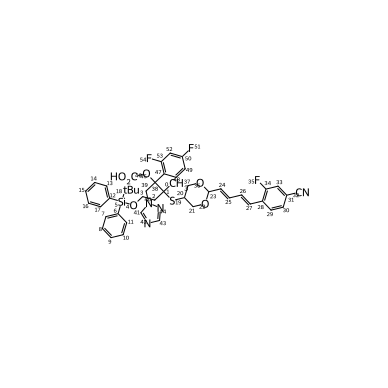 CC(CCO[Si](c1ccccc1)(c1ccccc1)C(C)(C)C)(SC1COC(C=CC=Cc2ccc(C#N)cc2F)OC1)C(Cn1cncn1)(OC(=O)O)c1ccc(F)cc1F